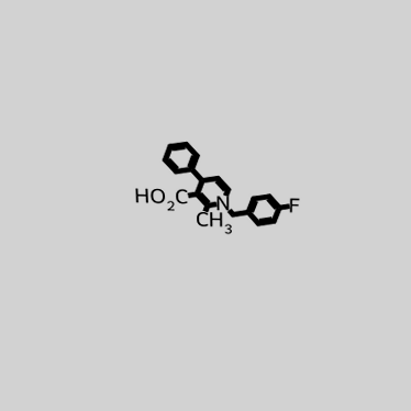 CC1=C(C(=O)O)C(c2ccccc2)C=CN1Cc1ccc(F)cc1